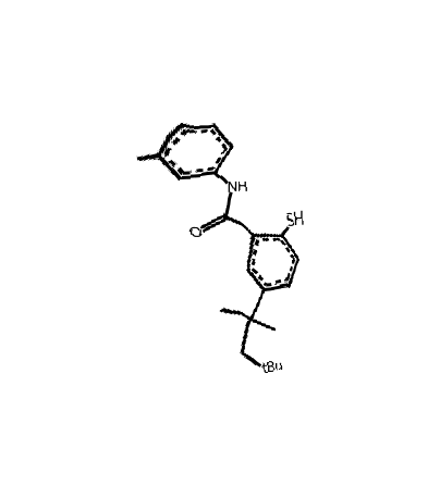 Cc1cccc(NC(=O)c2cc(C(C)(C)CC(C)(C)C)ccc2S)c1